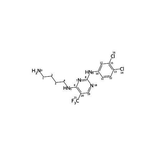 NCCCCNc1nc(Nc2ccc(Cl)c(Cl)c2)ncc1C(F)(F)F